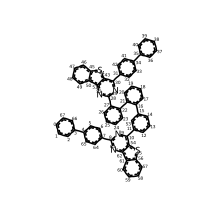 c1ccc(-c2ccc(-c3nc(-c4cccc(-c5ccccc5-c5ccccc5-c5nc(-c6ccc(-c7ccccc7)cc6)c6sc7ccccc7c6n5)c4)c4sc5ccccc5c4n3)cc2)cc1